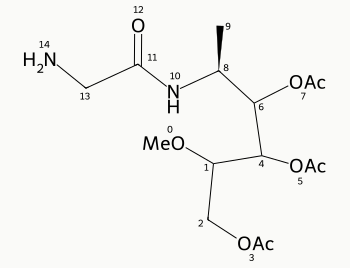 COC(COC(C)=O)C(OC(C)=O)C(OC(C)=O)[C@H](C)NC(=O)CN